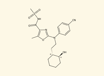 Cc1oc(N(CC[C@H]2CCCC[C@@H]2O)c2ccc(C#N)cc2)nc1C(=O)NS(C)(=O)=O